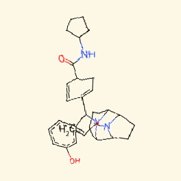 C=CCN1C2CCC1C1CCC2N1C(C1=CCC(C(=O)NC2CCCC2)C=C1)c1cccc(O)c1